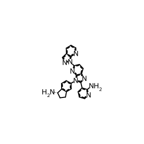 Nc1ncccc1-c1nc2ccc(-n3ncc4cccnc43)nc2n1-c1ccc2c(c1)CC[C@@H]2N